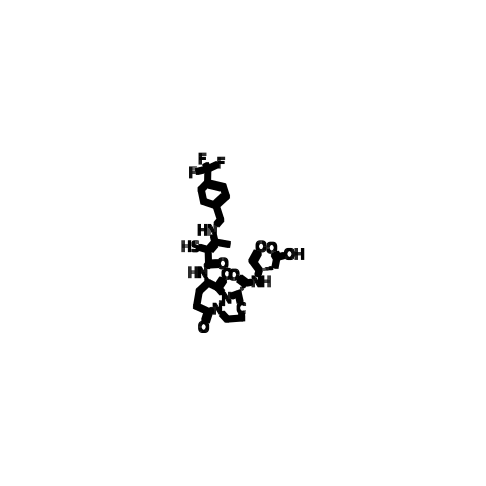 C/C(NCC1=CC=C(C(F)(F)F)CC1)=C(/S)C(=O)N[C@H]1CCC(=O)N2CCC[C@@H](C(=O)N[C@H](C=O)CC(=O)O)N2C1=O